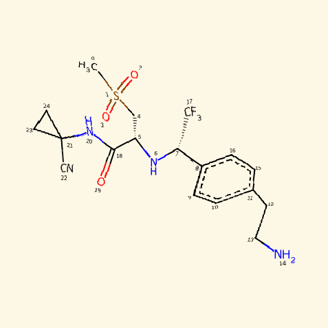 CS(=O)(=O)C[C@H](N[C@@H](c1ccc(CCN)cc1)C(F)(F)F)C(=O)NC1(C#N)CC1